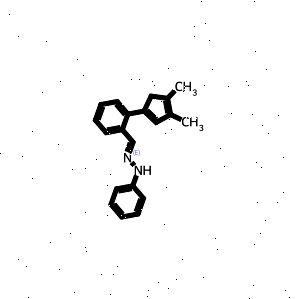 CC1=C(C)CC(c2ccccc2/C=N/Nc2ccccc2)=C1